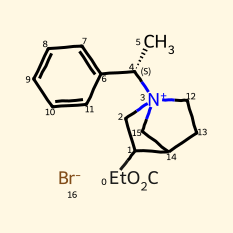 CCOC(=O)C1C[N+]2([C@@H](C)c3ccccc3)CCC1C2.[Br-]